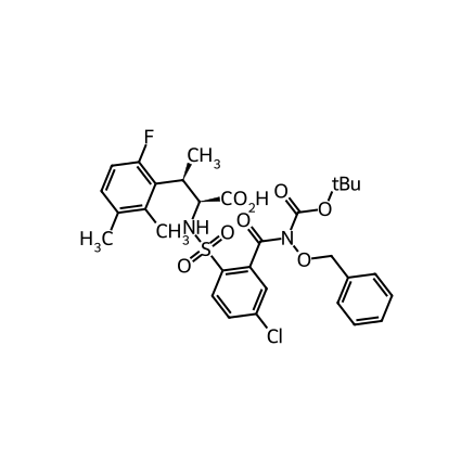 Cc1ccc(F)c([C@@H](C)[C@H](NS(=O)(=O)c2ccc(Cl)cc2C(=O)N(OCc2ccccc2)C(=O)OC(C)(C)C)C(=O)O)c1C